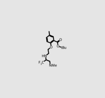 CNCC(NCCOc1ccc(C)cc1C(=O)OC(C)(C)C)C(F)(F)F